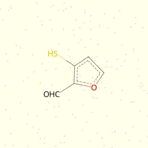 O=Cc1occc1S